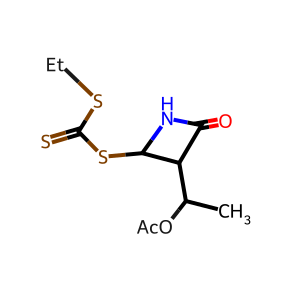 CCSC(=S)SC1NC(=O)C1C(C)OC(C)=O